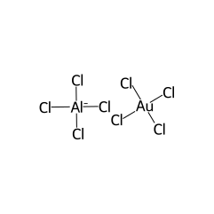 [Cl][Al-]([Cl])([Cl])[Cl].[Cl][Au]([Cl])([Cl])[Cl]